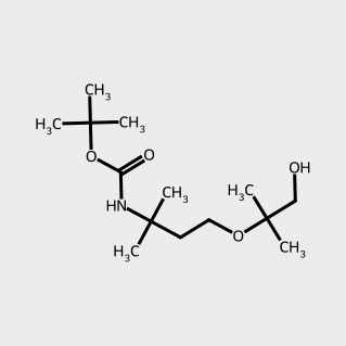 CC(C)(CCOC(C)(C)CO)NC(=O)OC(C)(C)C